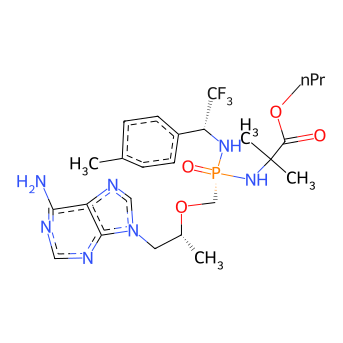 CCCOC(=O)C(C)(C)N[P@](=O)(CO[C@H](C)Cn1cnc2c(N)ncnc21)N[C@H](c1ccc(C)cc1)C(F)(F)F